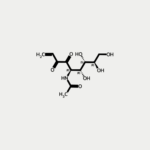 C=CC(=O)C(=O)[C@H](NC(C)=O)[C@@H](O)[C@H](O)[C@H](O)CO